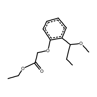 CCOC(=O)COc1ccccc1C(CC)OC